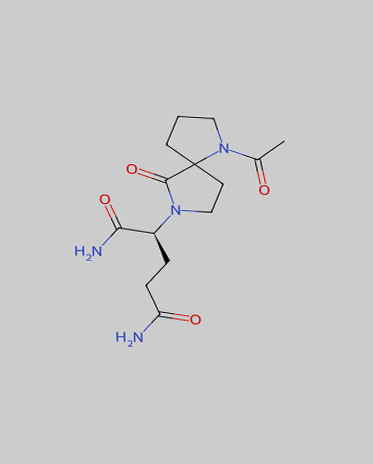 CC(=O)N1CCCC12CCN([C@@H](CCC(N)=O)C(N)=O)C2=O